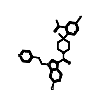 C=C(C)c1cc(F)ccc1C1(C)CCN(C(=O)c2cn(CCc3ccncc3)c3cc(Cl)ccc23)CC1